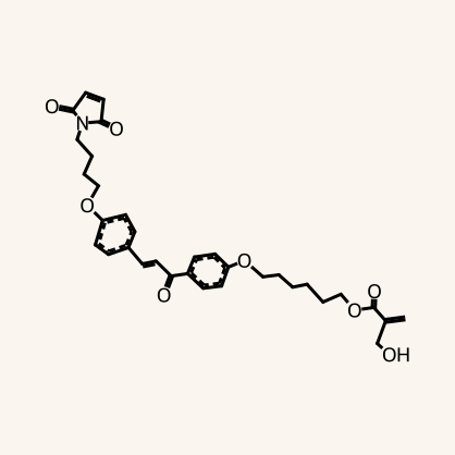 C=C(CO)C(=O)OCCCCCCOc1ccc(C(=O)/C=C/c2ccc(OCCCCN3C(=O)C=CC3=O)cc2)cc1